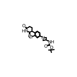 CC(C)(C)OC(=O)NC1CN(c2ccc(C3CCC(=O)NC3=O)c(Cl)c2)C1